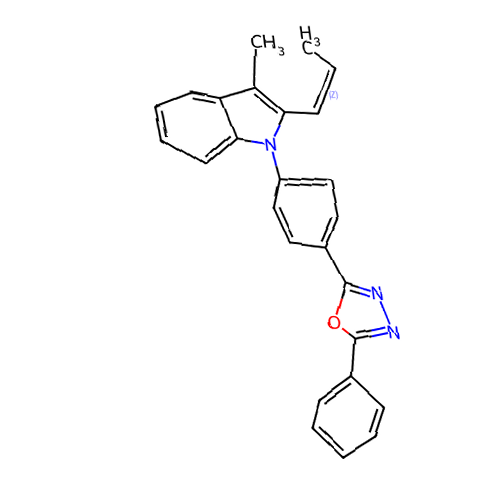 C/C=C\c1c(C)c2ccccc2n1-c1ccc(-c2nnc(-c3ccccc3)o2)cc1